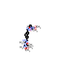 CCCN(C(=O)[C@@H](NC(=O)OC)C(C)C)[C@@H](C)c1ncc(-c2ccc3c(c2)CCc2cc(-c4cnc([C@@H]5[C@H]6CC[C@H](C6)N5C(=O)[C@H](C)NC(=O)OC)[nH]4)ccc2-3)[nH]1